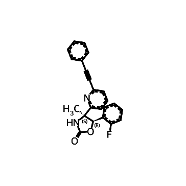 C[C@@]1(c2cccc(C#Cc3ccccc3)n2)NC(=O)O[C@@H]1c1ccccc1F